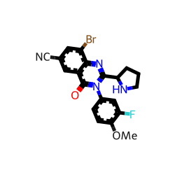 COc1ccc(-n2c(C3CCCN3)nc3c(Br)cc(C#N)cc3c2=O)cc1F